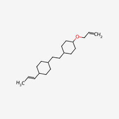 C=CCOC1CCC(CCC2CCC(C=CC)CC2)CC1